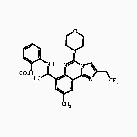 Cc1cc(C(C)Nc2ccccc2C(=O)O)c2nc(N3CCOCC3)n3cc(CC(F)(F)F)nc3c2c1